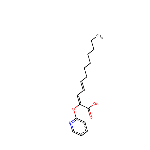 CCCCCCCC=CC=C(Oc1ccccn1)C(=O)O